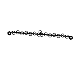 O=C(OCCOCCOCCOCCOCCOCCOCc1ccccc1)OCCOCCOCCOCCOCCOCCOCc1ccccc1